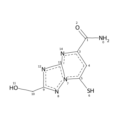 NC(=O)c1cc(S)n2nc(CO)nc2n1